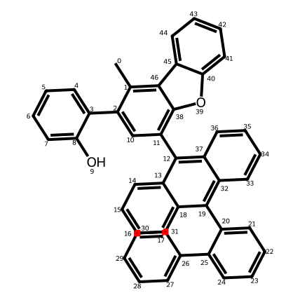 Cc1c(-c2ccccc2O)cc(-c2c3ccccc3c(-c3ccccc3-c3ccccc3)c3ccccc23)c2oc3ccccc3c12